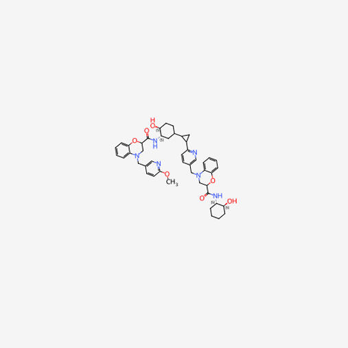 COc1ccc(CN2CC(C(=O)N[C@H]3CC(C4CC4c4ccc(CN5CC(C(=O)N[C@H]6CCCC[C@@H]6O)Oc6ccccc65)cn4)CC[C@@H]3O)Oc3ccccc32)cn1